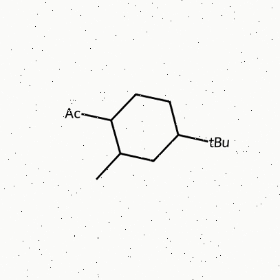 CC(=O)C1CCC(C(C)(C)C)CC1C